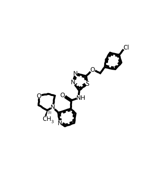 C[C@H]1COCCN1c1ncccc1C(=O)Nc1nnc(OCc2ccc(Cl)cc2)s1